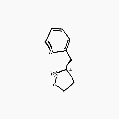 c1ccc(C[C@H]2CCON2)nc1